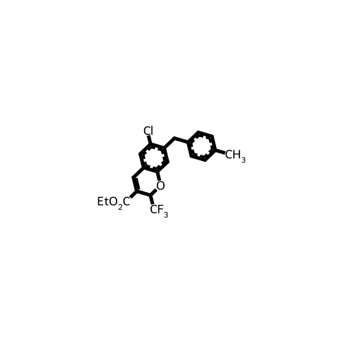 CCOC(=O)C1=Cc2cc(Cl)c(Cc3ccc(C)cc3)cc2OC1C(F)(F)F